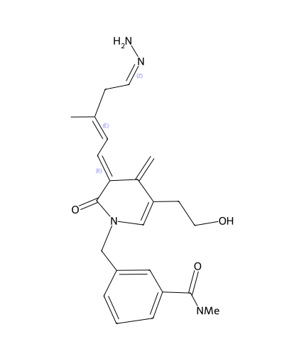 C=c1c(CCO)cn(Cc2cccc(C(=O)NC)c2)c(=O)/c1=C/C=C(\C)C/C=N\N